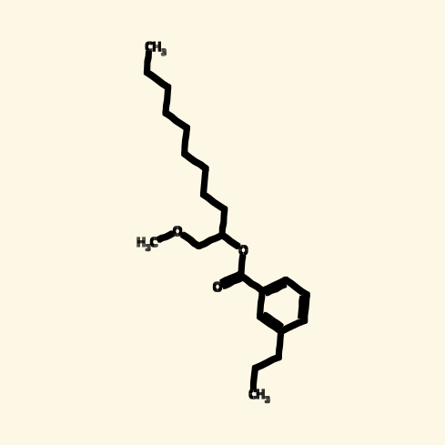 CCCCCCCCCC(COC)OC(=O)c1cccc(CCC)c1